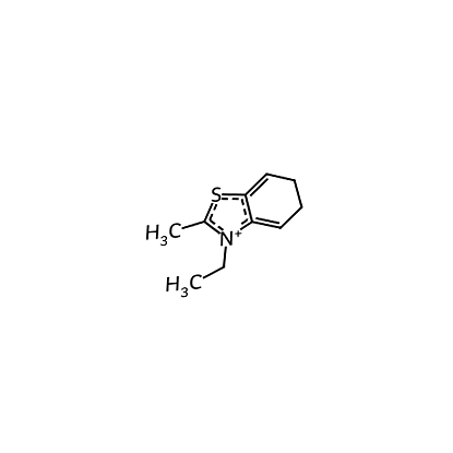 CC[n+]1c(C)sc2c1=CCCC=2